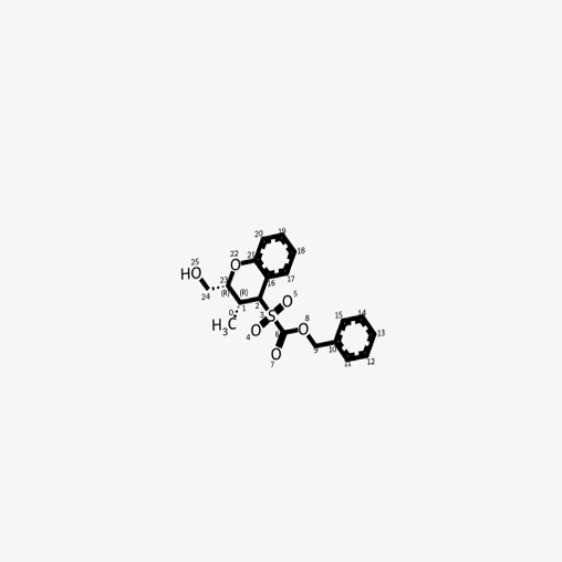 C[C@H]1C(S(=O)(=O)C(=O)OCc2ccccc2)c2ccccc2O[C@H]1CO